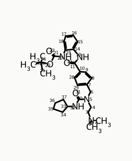 CN(C)CCN(Cc1ccc(C(=O)Nc2ccccc2NC(=O)OC(C)(C)C)cc1)C(=O)NC1CCCC1